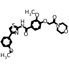 COc1cccc(-c2csc(NC(=O)c3ccc(OCC(=O)N4CCOCC4)c(OC)c3)n2)c1